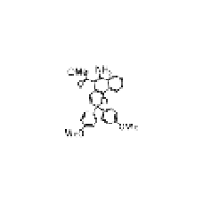 COC(=O)c1c2c(c3ccccc3c1N)OC(c1ccc(OC)cc1)(c1ccc(OC)cc1)C=C2